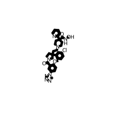 COc1ccc(-n2cnnn2)cc1C(=O)N1CCC(CCN2CCC(C(=O)NO)(c3ccccn3)CC2)(c2cccc(Cl)c2)C1